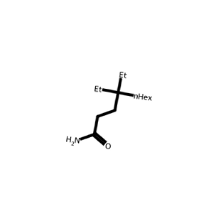 CCCCCCC(CC)(CC)CCC(N)=O